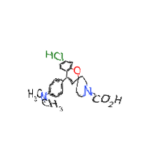 CN(C)c1ccc(C2=CC3(CCN(CC(=O)O)CC3)Oc3ccccc32)cc1.Cl